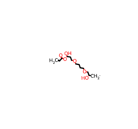 [CH2]C(O)COCCCCOCCC(O)OC(=O)C=C